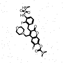 CNS(=O)(=O)Nc1cccc(Cc2c(CN3CCOCC3)c3cc(F)c(OC(=O)N(C)C)cc3oc2=O)c1F